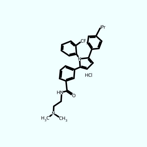 CC(C)c1ccc(-c2ccc(-c3cccc(C(=O)NCCN(C)C)c3)n2-c2ccccc2C(F)(F)F)cc1.Cl